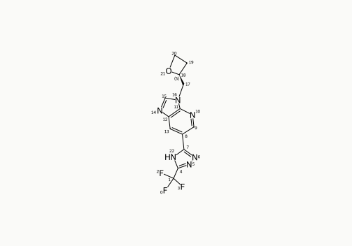 FC(F)(F)c1nnc(-c2cnc3c(c2)ncn3C[C@@H]2CCO2)[nH]1